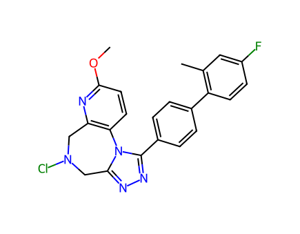 COc1ccc2c(n1)CN(Cl)Cc1nnc(-c3ccc(-c4ccc(F)cc4C)cc3)n1-2